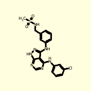 CS(=O)(=O)NCc1cccc(Nc2n[nH]c3ncnc(Nc4cccc(Cl)c4)c23)c1